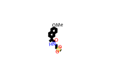 COc1ccc2cc(C(C)C(=O)NCCS(C)(=O)=O)ccc2c1